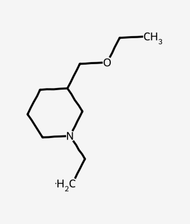 [CH2]CN1CCCC(COCC)C1